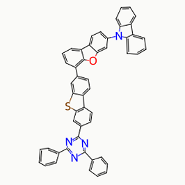 c1ccc(-c2nc(-c3ccccc3)nc(-c3ccc4c(c3)sc3cc(-c5cccc6c5oc5cc(-n7c8ccccc8c8ccccc87)ccc56)ccc34)n2)cc1